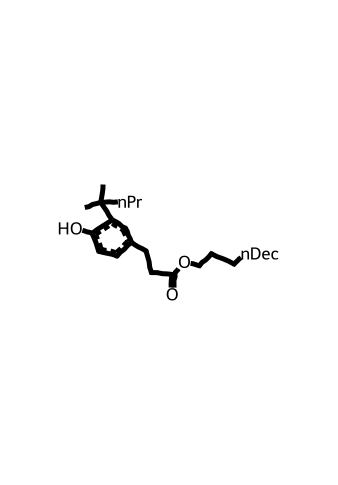 CCCCCCCCCCCCCOC(=O)CCc1ccc(O)c(C(C)(C)CCC)c1